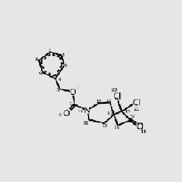 O=C(OCc1ccccc1)N1CCC2(CC1)CC(=O)C2(Cl)Cl